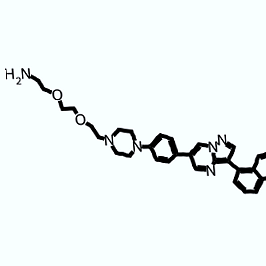 NCCOCCOCCN1CCN(c2ccc(-c3cnc4c(-c5cccc6ncccc56)cnn4c3)cc2)CC1